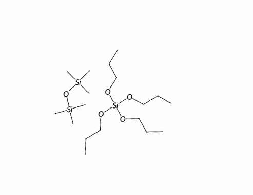 CCCO[Si](OCCC)(OCCC)OCCC.C[Si](C)(C)O[Si](C)(C)C